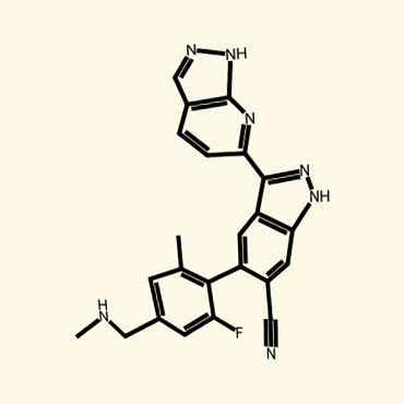 CNCc1cc(C)c(-c2cc3c(-c4ccc5cn[nH]c5n4)n[nH]c3cc2C#N)c(F)c1